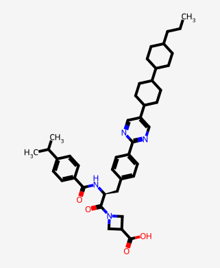 CCCC1CCC(C2CCC(c3cnc(-c4ccc(C[C@H](NC(=O)c5ccc(C(C)C)cc5)C(=O)N5CC(C(=O)O)C5)cc4)nc3)CC2)CC1